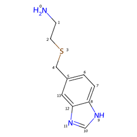 NCCSCc1ccc2[nH]cnc2c1